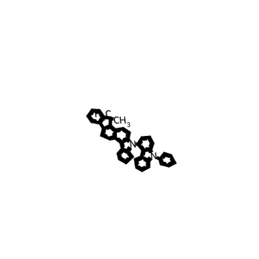 CC1(C)c2ccccc2-c2ccc3c(ccc4c3c3ccccc3n4-c3cccc4c3c3ccccc3n4-c3ccccc3)c21